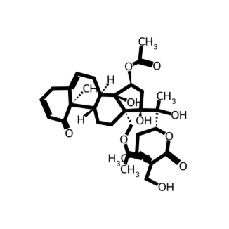 CC(=O)OC[C@]12CC[C@H]3[C@@H](CC=C4CC=CC(=O)[C@@]43C)[C@]1(O)[C@@H](OC(C)=O)C[C@@]2(O)C(C)(O)[C@H]1CC(C)=C(CO)C(=O)O1